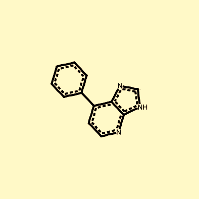 [c]1nc2c(-c3ccccc3)ccnc2[nH]1